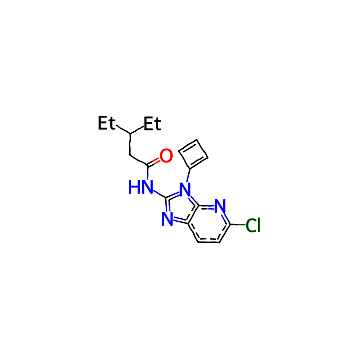 CCC(CC)CC(=O)Nc1nc2ccc(Cl)nc2n1C1=CC=C1